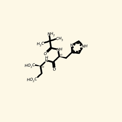 CC(C)(N)C(=O)N[C@@H](Cc1c[nH]cn1)C(=O)N[C@@H](CC(=O)O)C(=O)O